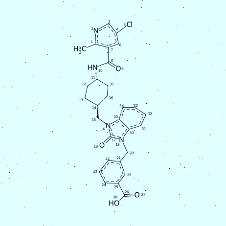 Cc1ncc(Cl)cc1C(=O)N[C@H]1CC[C@H](Cn2c(=O)n(Cc3cccc(C(=O)O)c3)c3ccccc32)CC1